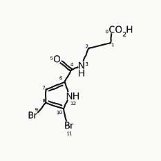 O=C(O)CCNC(=O)c1cc(Br)c(Br)[nH]1